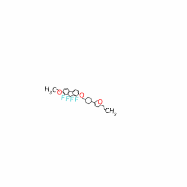 CCCC1CC=C(C2CCC(COc3ccc4c(c3F)C(F)(F)c3c-4ccc(OCC)c3F)CC2)CO1